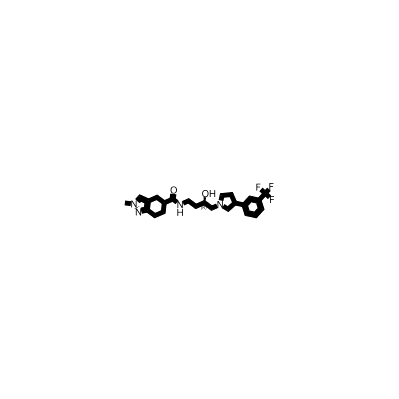 Cn1cc2c(n1)CCC(C(=O)NCC[C@@H](O)CN1CCC(c3cccc(C(F)(F)F)c3)C1)C2